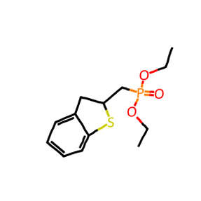 CCOP(=O)(CC1Cc2ccccc2S1)OCC